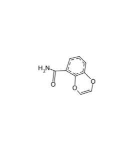 NC(=O)c1cccc2c1OC=CO2